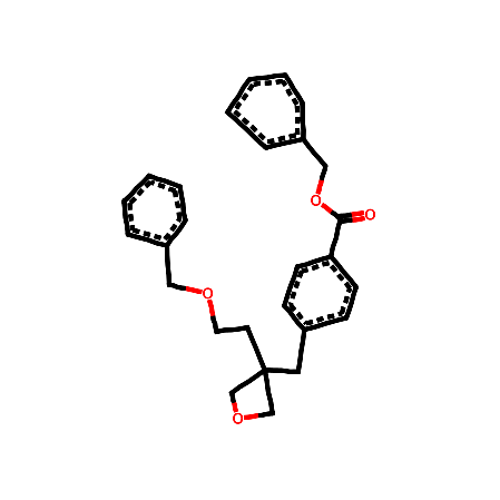 O=C(OCc1ccccc1)c1ccc(CC2(CCOCc3ccccc3)COC2)cc1